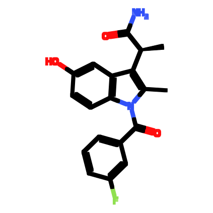 Cc1c([C@H](C)C(N)=O)c2cc(O)ccc2n1C(=O)c1cccc(F)c1